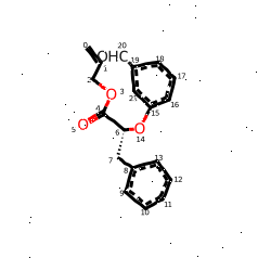 C=CCOC(=O)[C@@H](Cc1ccccc1)Oc1cccc(C=O)c1